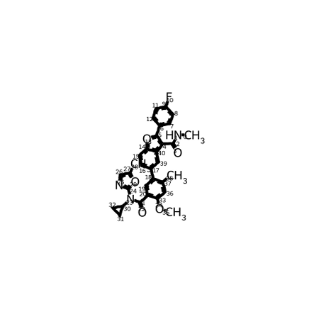 CNC(=O)c1c(-c2ccc(F)cc2)oc2ccc(-c3cc(C(=O)N(c4ncc(C)o4)C4CC4)c(OC)cc3C)cc12